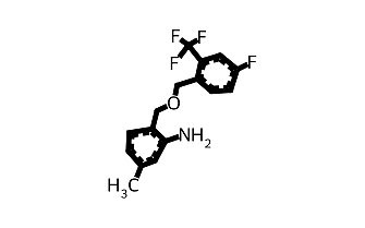 Cc1ccc(COCc2ccc(F)cc2C(F)(F)F)c(N)c1